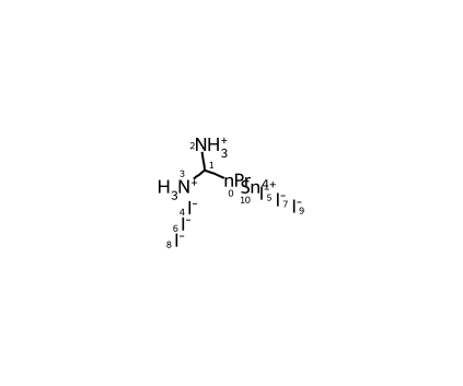 CCCC([NH3+])[NH3+].[I-].[I-].[I-].[I-].[I-].[I-].[Sn+4]